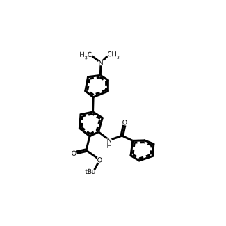 CN(C)c1ccc(-c2ccc(C(=O)OC(C)(C)C)c(NC(=O)c3ccccc3)c2)cc1